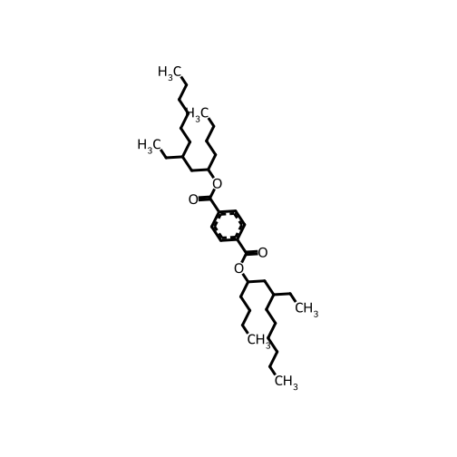 CCCCCCC(CC)CC(CCCC)OC(=O)c1ccc(C(=O)OC(CCCC)CC(CC)CCCCCC)cc1